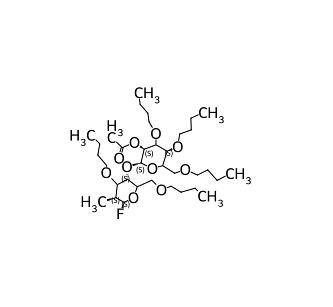 CCCCOCC1O[C@@H](F)[C@@H](C)C(OCCCC)[C@@H]1O[C@@H]1OC(COCCCC)[C@H](OCCCC)C(OCCCC)[C@@H]1OC(C)=O